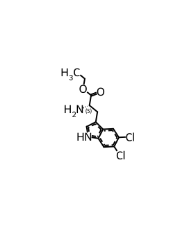 CCOC(=O)[C@@H](N)Cc1c[nH]c2cc(Cl)c(Cl)cc12